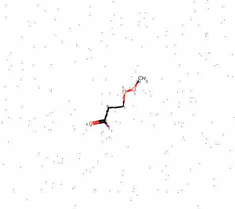 COOCCC(=O)I